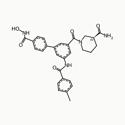 Cc1ccc(C(=O)Nc2cc(C(=O)N3CCC[C@H](C(N)=O)C3)cc(-c3ccc(C(=O)NO)cc3)c2)cc1